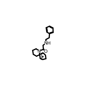 O=C(CNCCc1ccccc1)N1CCCCC12CC1CCC2CC1